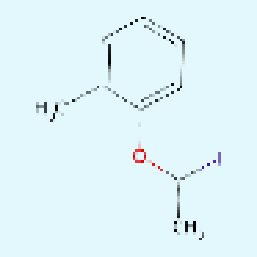 Cc1ccccc1OC(C)I